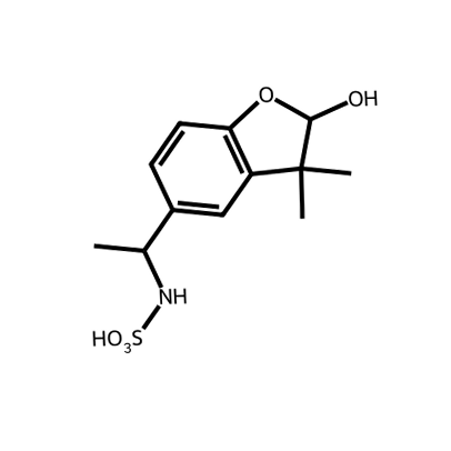 CC(NS(=O)(=O)O)c1ccc2c(c1)C(C)(C)C(O)O2